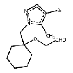 Cc1c(Br)cnn1CC1(OCC=O)CCCCC1